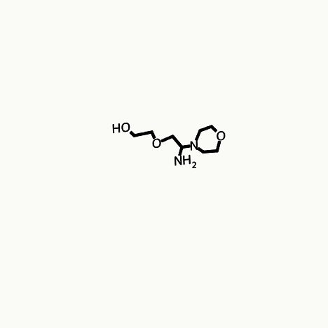 NC(COCCO)N1CCOCC1